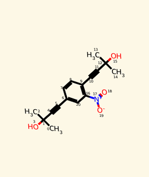 CC(C)(O)C#Cc1ccc(C#CC(C)(C)O)c([N+](=O)[O-])c1